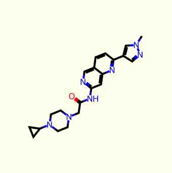 Cn1cc(-c2ccc3cnc(NC(=O)CN4CCN(C5CC5)CC4)cc3n2)cn1